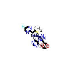 COc1ncnc(OC)c1-n1c(NSC(C)C(C)c2ncc(F)cn2)nnc1C1COCCO1